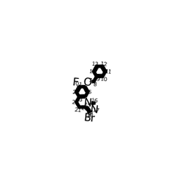 Fc1cc2c(cc1OCc1ccccc1)-n1cnc(Br)c1CC2